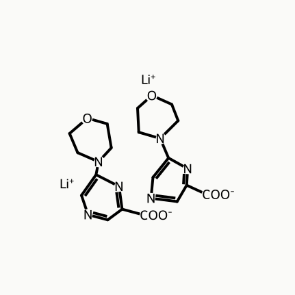 O=C([O-])c1cncc(N2CCOCC2)n1.O=C([O-])c1cncc(N2CCOCC2)n1.[Li+].[Li+]